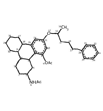 CC(=O)NC1CCC2C(C1)c1c(OC(C)=O)cc(OC(C)CCCc3ccccc3)cc1C1CCCCC12